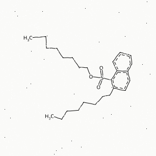 CCCCCCCCOS(=O)(=O)c1c(CCCCCCCC)ccc2ccccc12